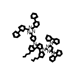 CCCCc1ccc2c(c1)c1c3c4cc(CCCC)ccc4n(-c4nc(-n5c6ccccc6c6ccccc65)cc(-n5c6ccccc6c6ccccc65)n4)c3ccc1n2-c1ccc(-c2nc(-c3cccc(-c4ccccc4)c3)nc(-c3cccc(-c4ccccc4)c3)n2)cc1